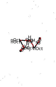 CCCCCCCCC(CCCCCCCCC(=O)NCCNC(C)(CC)C(=O)CCCCCCCCC(CCCCCCCC)C(CCCCCCCC)CCCCCCCCC(=O)OCCOc1ccccc1)C(CCCCCCCC)CCCCCCCCC(=O)C(C)OCCOc1ccccc1